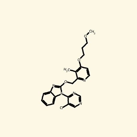 COCCCOc1ccnc(COc2nc3ccccc3n2-c2ncncc2Cl)c1C